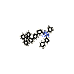 c1ccc(-c2cccc(-c3nc(-c4ccccc4)nc(-c4cccc(-c5ccc(-c6cccc7c6-c6ccccc6C76c7ccccc7-c7ccccc76)cc5)c4)n3)c2)cc1